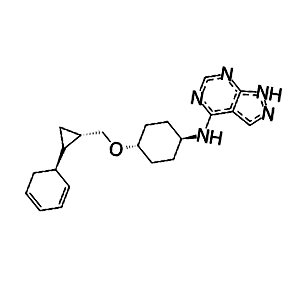 C1=CC[C@@H](C2C[C@@H]2CO[C@H]2CC[C@H](Nc3ncnc4[nH]ncc34)CC2)C=C1